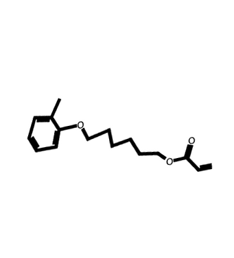 C=CC(=O)OCCCCCCOc1ccccc1C